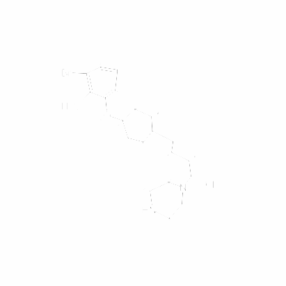 Cc1c(Br)cccc1OC1CCC(CCC[C@H](C)N2CCNCC2)CC1